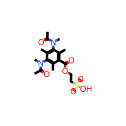 CC(=O)N(C)c1c(C)c(C(=O)OCCS(=O)(=O)O)c(C)c(N(C)C(C)=O)c1C